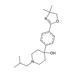 CC(C)CN1CCC(O)(c2ccc(C3=NC(C)(C)CO3)cc2)CC1